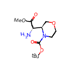 COC(=O)[C@@H](N)[C@H]1COCCN1C(=O)OC(C)(C)C